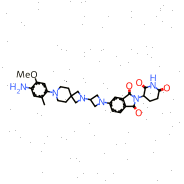 COc1cc(N2CCC3(CC2)CN(C2CN(c4ccc5c(c4)C(=O)N(C4CCC(=O)NC4=O)C5=O)C2)C3)c(C)cc1N